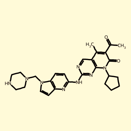 CC(=O)c1c(C)c2cnc(Nc3ccc4c(ccn4CN4CCNCC4)n3)nc2n(C2CCCC2)c1=O